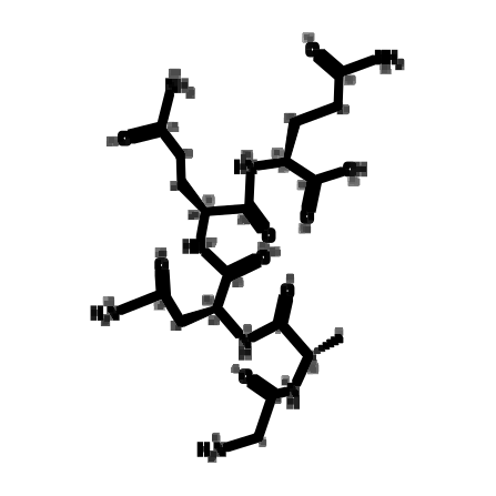 C[C@H](NC(=O)CN)C(=O)N[C@@H](CC(N)=O)C(=O)N[C@@H](CCC(N)=O)C(=O)N[C@@H](CCC(N)=O)C(=O)O